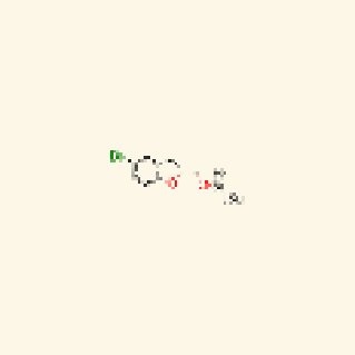 C[SiH](OCC1Cc2cc(Br)ccc2O1)C(C)(C)C